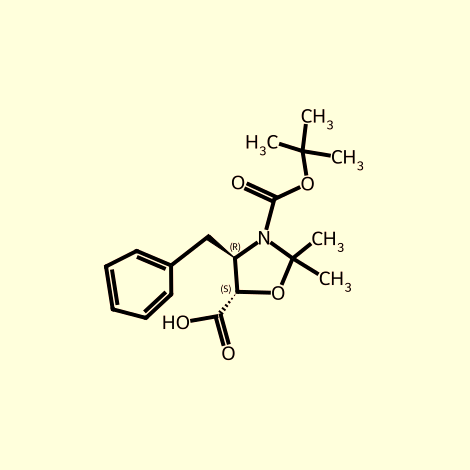 CC(C)(C)OC(=O)N1[C@H](Cc2ccccc2)[C@@H](C(=O)O)OC1(C)C